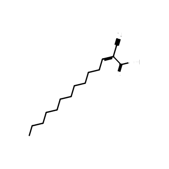 CCCCCCCCCCCC=C(C#N)C(=O)O